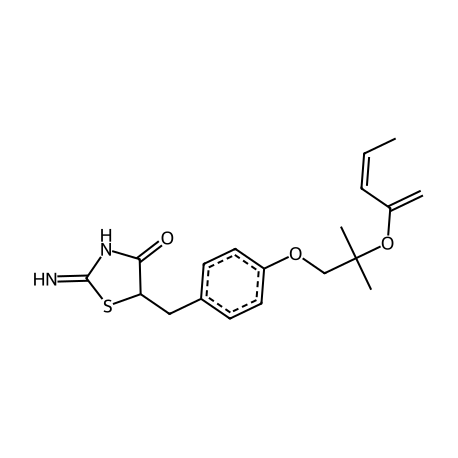 C=C(/C=C\C)OC(C)(C)COc1ccc(CC2SC(=N)NC2=O)cc1